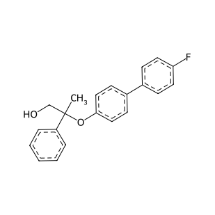 CC(CO)(Oc1ccc(-c2ccc(F)cc2)cc1)c1ccccc1